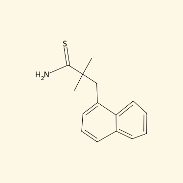 CC(C)(Cc1cccc2ccccc12)C(N)=S